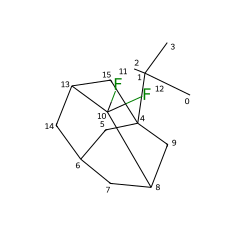 CC(C)(C)C12CC3CC(C1)C(F)(F)C(C3)C2